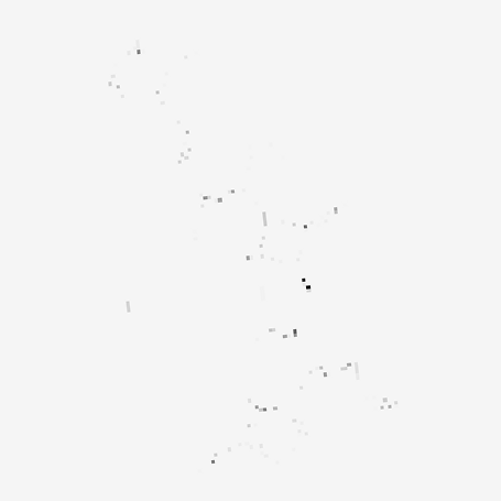 CON=C(C(=O)N[C@@H]1C(=O)N2C(C(=O)O)=C(C=Cc3scnc3C)CS[C@H]12)c1csc(N)n1.[KH]